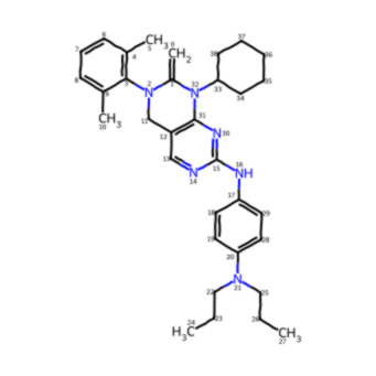 C=C1N(c2c(C)cccc2C)Cc2cnc(Nc3ccc(N(CCC)CCC)cc3)nc2N1C1CCCCC1